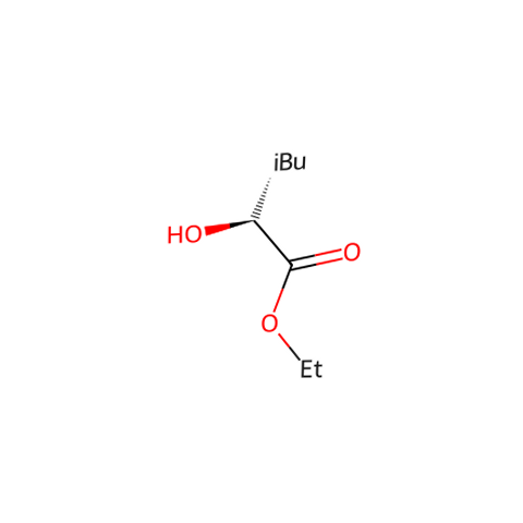 CCOC(=O)[C@@H](O)[C@@H](C)CC